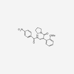 COc1ccccc1C(=CNC(=O)c1ccc([N+](=O)[O-])cc1)C(=O)N1CCCC1